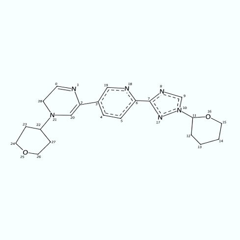 C1=NC(c2ccc(-c3ncn(C4CCCCO4)n3)nc2)=CN(C2CCOCC2)C1